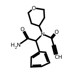 C#CC(=O)N(C1CCOCC1)C(C(N)=O)c1ccccc1